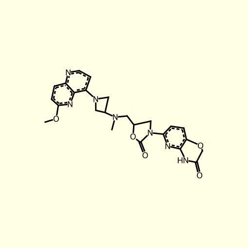 COc1ccc2nccc(N3CC(N(C)CC4CN(c5ccc6c(n5)NC(=O)CO6)C(=O)O4)C3)c2n1